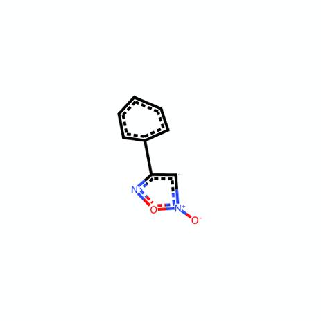 [O-][n+]1[c]c(-c2ccccc2)no1